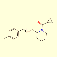 Cc1ccc(/C=C/CC2CCCCN2C(=O)C2CC2)cc1